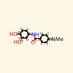 CNc1ccc(C(=O)Nc2ccc(O)c(O)c2)cc1